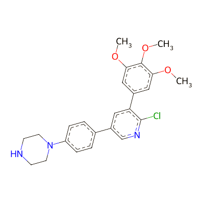 COc1cc(-c2cc(-c3ccc(N4CCNCC4)cc3)cnc2Cl)cc(OC)c1OC